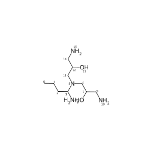 CCCC(N)N(CC(O)CN)CC(O)CN